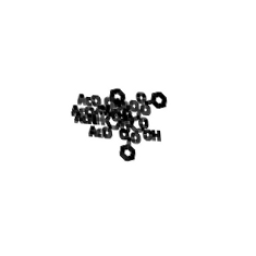 COC(=O)C1(OC2C(OC(=O)c3ccccc3)C(O)OC(COC(=O)c3ccccc3)C2OC(=O)c2ccccc2)CC(OC(C)=O)C(NC(C)=O)C([C@H](OC(C)=O)[C@@H](COC(C)=O)OC(C)=O)O1